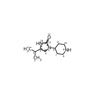 CC(C)c1cn(C2CCNCC2)c(=O)[nH]1